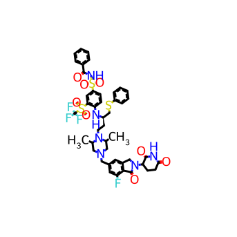 CC1CN(Cc2cc(F)c3c(c2)CN(C2CCC(=O)NC2=O)C3=O)CC(C)N1CC[C@H](CSc1ccccc1)Nc1ccc(S(=O)(=O)NC(=O)c2ccccc2)cc1S(=O)(=O)C(F)(F)F